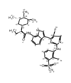 CC[C@H](C(=O)Nc1cccc2c(-c3nc(Nc4cccc(S(C)(=O)=O)c4F)ncc3F)c[nH]c12)N1C[C@H](C)N(C)[C@@H](C)C1